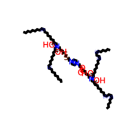 CCCCC/C=C\C/C=C\CCCCCC[C@@H](O)CN(CCCCC(=O)OCCN1CCN(CCSSCCCCN(C[C@@H](O)CCCCCC/C=C\CCCCCCCC)C[C@@H](O)CCCCCC/C=C\CCCCCCCC)CC1)C[C@H](O)CCCCCC/C=C\C/C=C\CCCCC